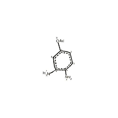 CC(=O)Oc1ccc(N)c(N)c1